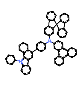 c1ccc(-n2c3ccccc3c3cc(-c4ccc(N(c5ccc6c(c5)C5(c7ccccc7-c7ccccc75)c5ccccc5-6)c5ccc6c7ccccc7c7ccccc7c6c5)cc4)c4ccccc4c32)cc1